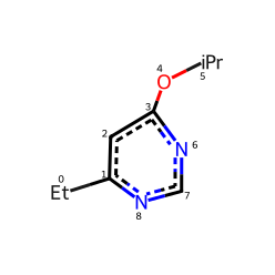 CCc1cc(OC(C)C)ncn1